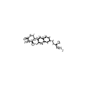 Cc1nc2cc(CCC(N)=O)ccc2cc1C1CCC(=O)NC1=O